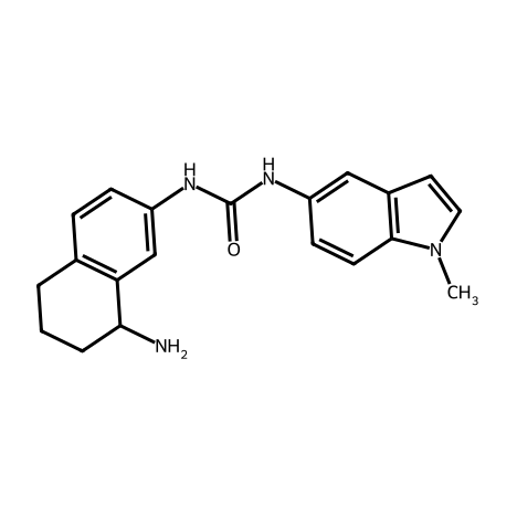 Cn1ccc2cc(NC(=O)Nc3ccc4c(c3)C(N)CCC4)ccc21